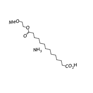 COCCOC(=O)CCCCCCCCCCCCC(=O)O.N